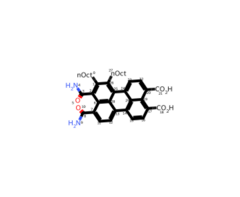 CCCCCCCCc1c(C(N)=O)c2c(C(N)=O)ccc3c4ccc(C(=O)O)c5c(C(=O)O)ccc(c(c1CCCCCCCC)c23)c54